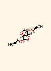 C#CCO[C@@H]1CO[C@@H]2[C@H]1OC[C@H]2OCC#C